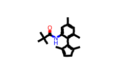 CC1=CCC(C)=C1c1c(C)cc(C)cc1NC(=O)C(C)(C)C